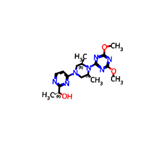 COc1nc(OC)nc(N2[C@H](C)CN(c3ccnc([C@@H](C)O)n3)C[C@@H]2C)n1